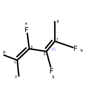 CC(C)=C(F)/C(F)=C(\C)F